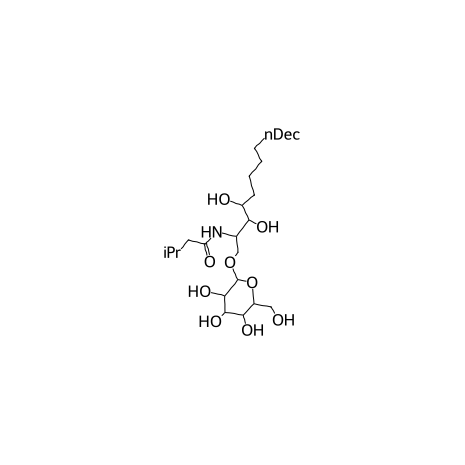 CCCCCCCCCCCCCCC(O)C(O)C(COC1OC(CO)C(O)C(O)C1O)NC(=O)CC(C)C